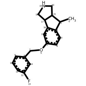 CC1c2ccc(OCc3cccc(F)c3)cc2C2CNCC12